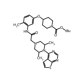 Cc1ccc(OC2CCN(C(=O)OC(C)(C)C)CC2)cc1NC(=O)CN1CC(C)N(c2ncnc3sccc23)C(C)C1